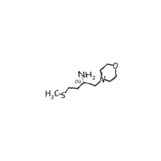 CSCC[C@H](N)CN1CCOCC1